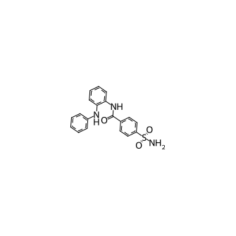 NS(=O)(=O)c1ccc(C(=O)Nc2ccccc2Nc2ccccc2)cc1